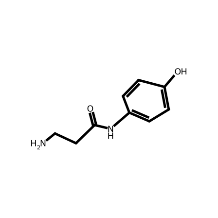 NCCC(=O)Nc1ccc(O)cc1